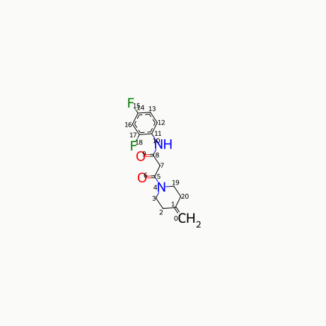 C=C1CCN(C(=O)CC(=O)Nc2ccc(F)cc2F)CC1